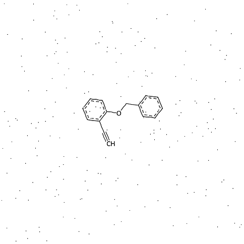 C#Cc1ccccc1OCc1ccccc1